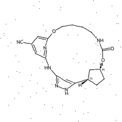 N#Cc1cc2nc(c1)OCCCCNC(=O)O[C@@H]1CC[C@@H](C1)c1cc(n[nH]1)N2